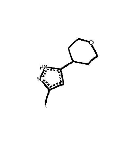 Ic1cc(C2CCOCC2)[nH]n1